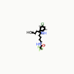 C#CCCc1c(CCCCNC(=O)C(F)(F)F)[nH]c2ccc(Cl)cc12